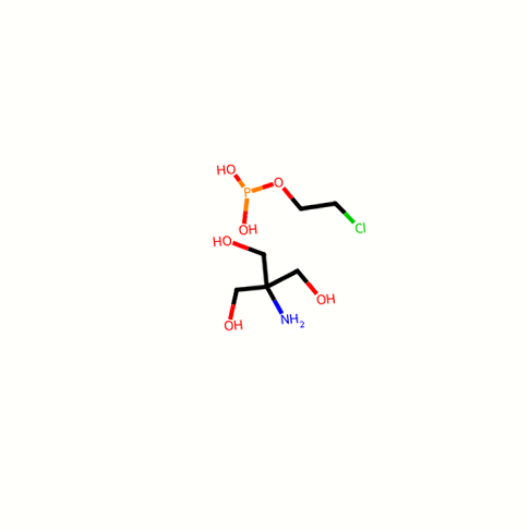 NC(CO)(CO)CO.OP(O)OCCCl